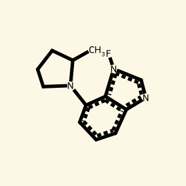 CC1CCCN1c1cccc2ncn(F)c12